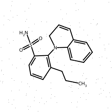 CCCc1cccc(S(N)(=O)=O)c1N1CC=Cc2ccccc21